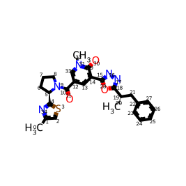 Cc1csc([C@H]2CCCN2C(=O)c2cc(-c3nnc([C@@H](C)Cc4ccccc4)o3)c(=O)n(C)c2)n1